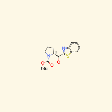 CC(C)(C)OC(=O)N1CCC[C@H]1C(=O)c1nc2ccccc2s1